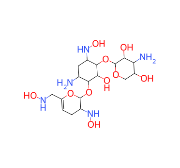 NC1CC(NO)C(OC2OCC(O)C(N)C2O)C(O)C1OC1OC(CNO)=CCC1NO